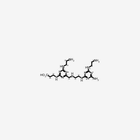 NCCNc1nc(N)nc(NCCNCc2nc(NCCN)nc(NCCC(=O)O)n2)n1